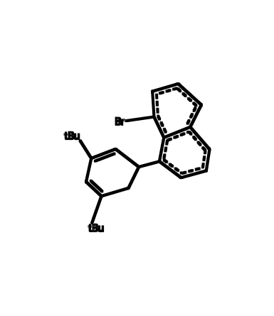 CC(C)(C)C1=CC(c2cccc3cccc(Br)c23)CC(C(C)(C)C)=C1